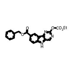 CCOC(=O)Oc1ncc2[nH]c3ccc(C(=O)OCc4ccccc4)cc3c2n1